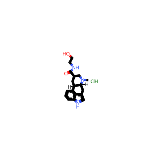 CN1CC(C(=O)NCCO)C[C@@H]2c3cccc4[nH]cc(c34)C[C@H]21.Cl